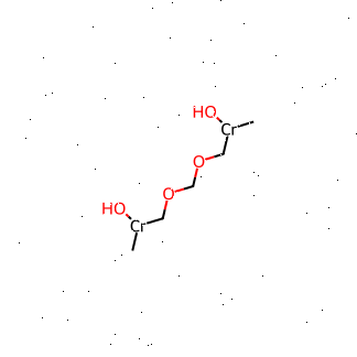 [CH3][Cr]([OH])[CH2]OCO[CH2][Cr]([CH3])[OH]